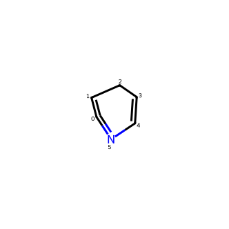 C1=CCC=CN=1